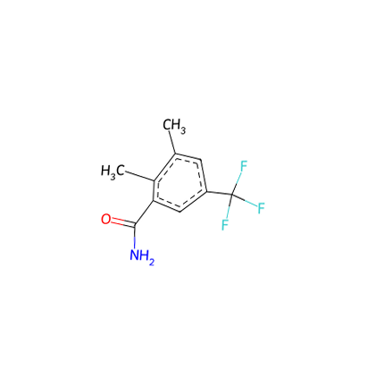 Cc1cc(C(F)(F)F)cc(C(N)=O)c1C